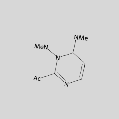 CNC1C=CN=C(C(C)=O)N1NC